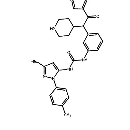 Cc1ccc(-n2nc(C(C)(C)C)cc2NC(=O)Nc2cccc(C(C(=O)c3cnoc3C)C3CCNCC3)c2)cc1